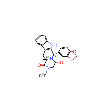 CCCN1CC(=O)N2[C@@H](c3ccc4c(c3)OCO4)c3[nH]c4ccccc4c3C[C@H]2C1=O